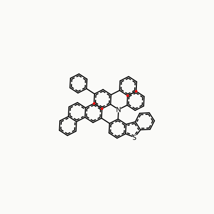 c1ccc(-c2ccc(N(c3ccccc3)c3c(-c4ccc5ccc6ccccc6c5c4)ccc4sc5ccccc5c34)c(-c3ccccc3)c2)cc1